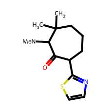 CNC1C(=O)C(c2nccs2)CCCC1(C)C